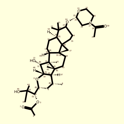 CC(=O)O[C@@H]([C@H]1C[C@@H](C)[C@H]2[C@H](O1)[C@H](O)[C@@]1(C)[C@@H]3CC[C@H]4C(C)(C)C(O[C@H]5CN(C(C)=O)CCO5)CCC45C[C@@]35CC[C@]21C)C(C)(C)O